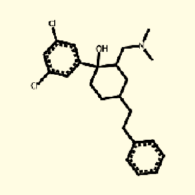 CN(C)CC1CC(CCc2ccccc2)CCC1(O)c1cc(Cl)cc(Cl)c1